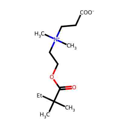 CCC(C)(C)C(=O)OCC[N+](C)(C)CCC(=O)[O-]